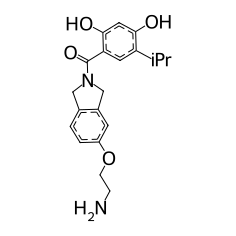 CC(C)c1cc(C(=O)N2Cc3ccc(OCCN)cc3C2)c(O)cc1O